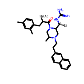 CC[C@H](NC(=N)N)C1CN(CCc2ccc3ccccc3c2)C(C)CN1C(=O)C(Cc1ccc(C)cc1C)NC(C)=O